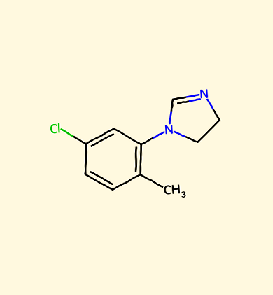 Cc1ccc(Cl)cc1N1C=NCC1